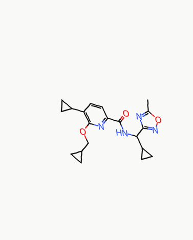 Cc1nc(C(NC(=O)c2ccc(C3CC3)c(OCC3CC3)n2)C2CC2)no1